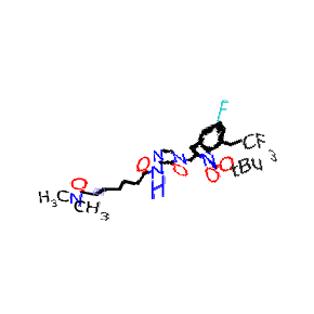 CN(C)C(=O)/C=C/CCCC(=O)Nc1nccn(Cc2cc3cc(F)cc(CCC(F)(F)F)c3n2C(=O)OC(C)(C)C)c1=O